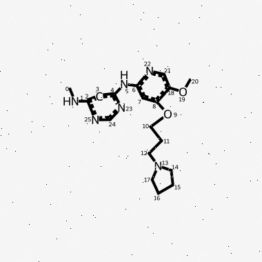 CNc1cc(Nc2cc(OCCCN3CCCC3)c(OC)cn2)ncn1